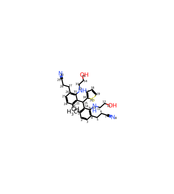 Cc1ccc(CCC#N)c(NCCO)c1C(c1cccs1)c1c(C)ccc(CCC#N)c1NCCO